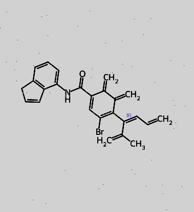 C=C/C=C(\C(=C)C)c1c(Br)cc(C(=O)Nc2cccc3c2C=CC3)c(=C)c1=C